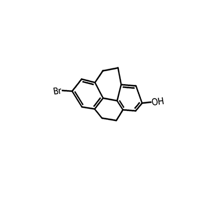 Oc1cc2c3c(c1)CCc1cc(Br)cc(c1-3)CC2